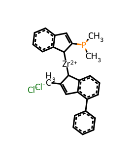 CC1=Cc2c(-c3ccccc3)cccc2[CH]1[Zr+2][CH]1C(P(C)C)=Cc2ccccc21.[Cl-].[Cl-]